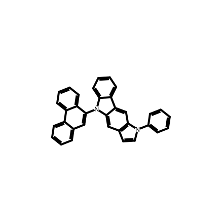 c1ccc(-n2ccc3cc4c(cc32)c2ccccc2n4-c2cc3ccccc3c3ccccc23)cc1